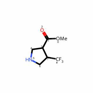 COC(=O)C1CNCC1C(F)(F)F